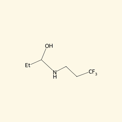 CCC(O)NCCC(F)(F)F